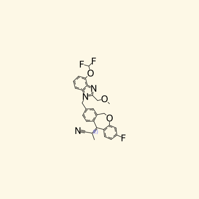 COCc1nc2c(OC(F)F)cccc2n1Cc1ccc2c(c1)COc1cc(F)ccc1/C2=C(\C)C#N